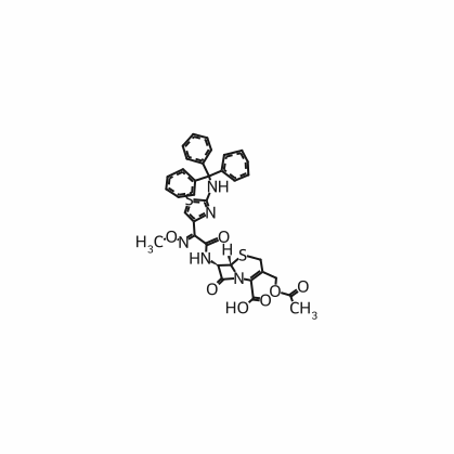 CON=C(C(=O)N[C@@H]1C(=O)N2C(C(=O)O)=C(COC(C)=O)CS[C@@H]12)c1csc(NC(c2ccccc2)(c2ccccc2)c2ccccc2)n1